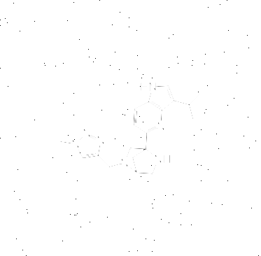 CC(C)c1c[nH]c2ccc(C34CC(CN3)N(Cc3cn(C)nn3)C4)nc12